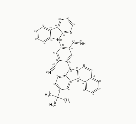 CC(C)(C)c1ccc2c(c1)c1c3ccccc3ccc1n2-c1cc(C=N)c(-n2c3ccccc3c3ccccc32)cc1C#N